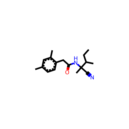 CCC(C)C(C)(C#N)NC(=O)Cc1ccc(C)cc1C